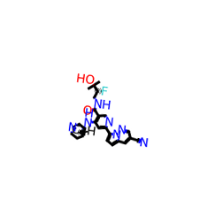 CC(C)(O)[C@H](F)CNC(=O)c1cnc(-c2ccc3cc(C#N)cnn23)cc1N[C@H]1CN2CCC1CC2